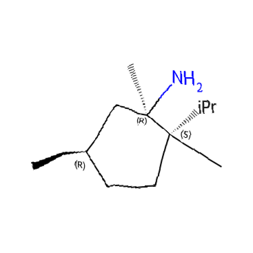 CC(C)[C@]1(C)CC[C@@H](C)C[C@@]1(C)N